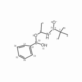 CC(N[S+]([O-])C(C)(C)C)OB(O)c1ccccc1